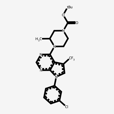 CC1CN(C(=O)OC(C)(C)C)CCN1c1ncnc2c1c(C(F)(F)F)cn2-c1cccc(Cl)c1